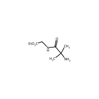 CCOC(=O)CNC(=O)C(C)(C)N